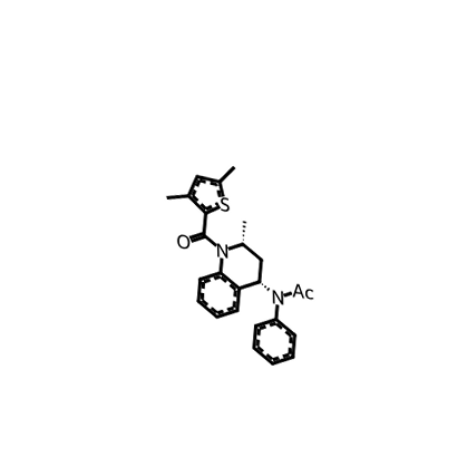 CC(=O)N(c1ccccc1)[C@H]1C[C@@H](C)N(C(=O)c2sc(C)cc2C)c2ccccc21